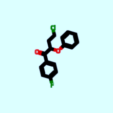 O=C(c1ccc(F)cc1)C(CCCl)Oc1ccccc1